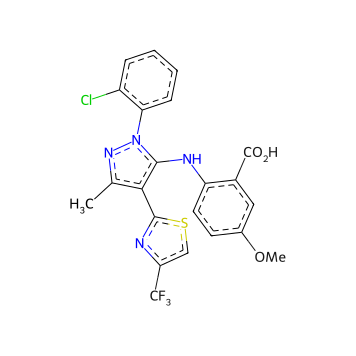 COc1ccc(Nc2c(-c3nc(C(F)(F)F)cs3)c(C)nn2-c2ccccc2Cl)c(C(=O)O)c1